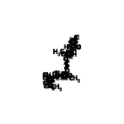 COc1cc(C2NC(=O)c3cc(Cl)ccc3N2)ccc1OCCCCOc1cc(-c2cc(-c3cc(OC)c(OC)c(OC)c3)on2)ccc1OC